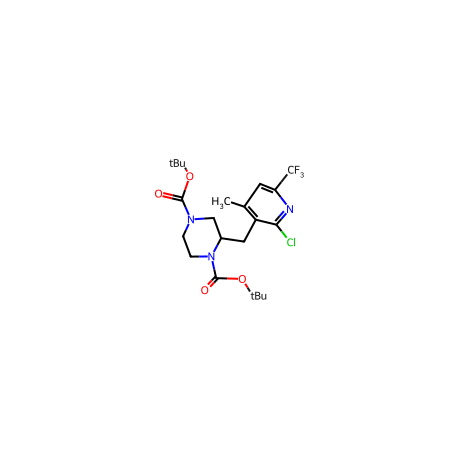 Cc1cc(C(F)(F)F)nc(Cl)c1CC1CN(C(=O)OC(C)(C)C)CCN1C(=O)OC(C)(C)C